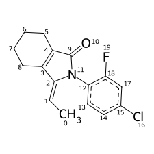 CC=C1C2=C(CCCC2)C(=O)N1c1ccc(Cl)cc1F